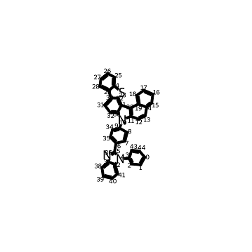 c1ccc(-n2c(-c3ccc(-n4c5ccc6ccccc6c5c5c6sc7ccccc7c6ccc54)cc3)nc3ccccc32)cc1